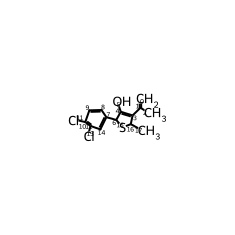 C=C(C)C1=C(O)C(c2ccc(Cl)c(Cl)c2)SC1C